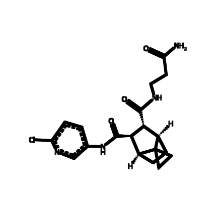 NC(=O)CCNC(=O)[C@H]1[C@H](C(=O)Nc2ccc(Cl)nc2)[C@@H]2CC[C@H]1C21CC1